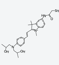 CC(O)CN(CC(C)O)c1ccc(/C=C/C2=[N+](C)c3ccc(NC(=O)CS)cc3C2(C)C)cc1